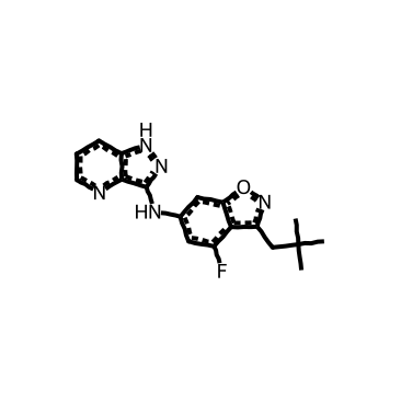 CC(C)(C)Cc1noc2cc(Nc3n[nH]c4cccnc34)cc(F)c12